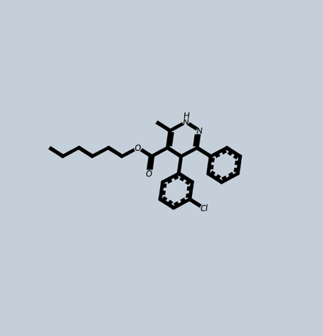 CCCCCCOC(=O)C1=C(C)NN=C(c2ccccc2)C1c1cccc(Cl)c1